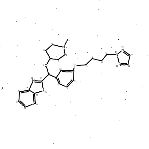 CN1CCC(OC(c2cccc(OCCCCn3nccn3)c2)c2nc3ccccc3s2)CC1